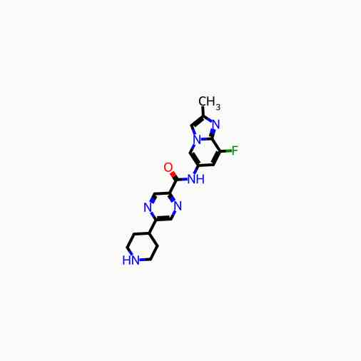 Cc1cn2cc(NC(=O)c3cnc(C4CCNCC4)cn3)cc(F)c2n1